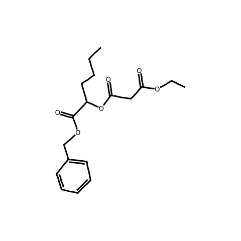 CCCCC(OC(=O)CC(=O)OCC)C(=O)OCc1ccccc1